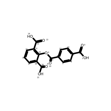 O=C(O)c1ccc(C(=O)Oc2c(C(=O)O)cccc2C(=O)O)cc1